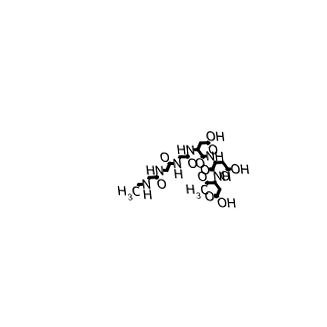 CCNCC(=O)NCC(=O)NCC(=O)NC(CC(=O)O)C(=O)NC(CC(=O)O)C(=O)NC(CC(=O)O)C(C)=O